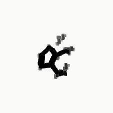 CCCCC1=[C]([Hf+3])CC=C1.[I-].[I-].[I-]